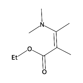 CCOC(=O)C(C)=C(C)N(C)C